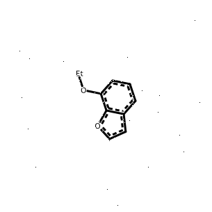 CCOc1cccc2c[c]oc12